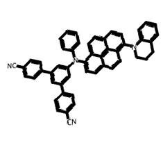 N#Cc1ccc(-c2cc(-c3ccc(C#N)cc3)cc(N(c3ccccc3)c3ccc4ccc5c(N6CCCc7ccccc76)ccc6ccc3c4c65)c2)cc1